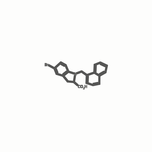 O=C(O)C1Cc2cc(Br)ccc2N1Cc1cccc2ccccc12